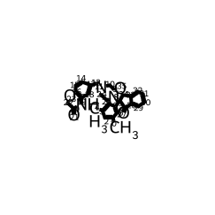 Cc1cc(C)cc(C2(N3CCN(Cc4ccc5c(c4)NC(=O)CO5)CC3)C(=O)c3ccccc3C2=O)c1